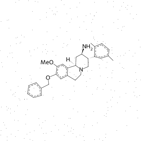 COc1cc2c(cc1OCc1ccccc1)CCN1C[C@@H](c3cc(C)ccc3C)[C@H](N)C[C@H]21